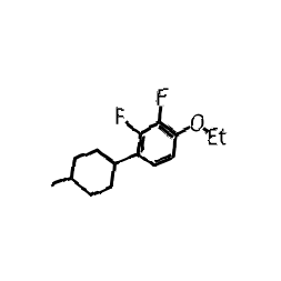 CCOc1ccc(C2CCC(C)CC2)c(F)c1F